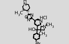 CC(C)c1ccc([C@](O)(c2cncc(-c3noc([C@H]4CCNC[C@H]4C)n3)c2)C2(C)CN(C)C2)cc1.Cl